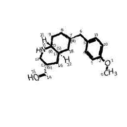 COc1ccc(C[C@@H]2CC[C@H]3NC[C@@H](CO)C[C@@H]3C2)cc1